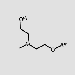 CC(C)OCCN(C)CCO